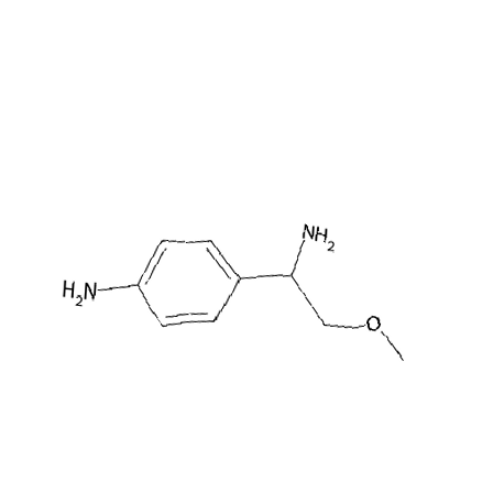 COCC(N)c1ccc(N)cc1